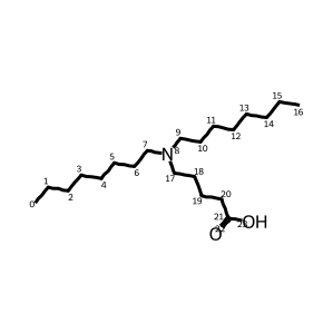 CCCCCCCCN(CCCCCCCC)CCCCC(=O)O